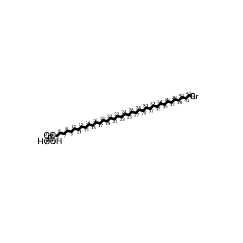 O=P(O)(O)OCCCCCCCCCCCCCCCCCCCCCCCCCCCCCCCCCCCCCCBr